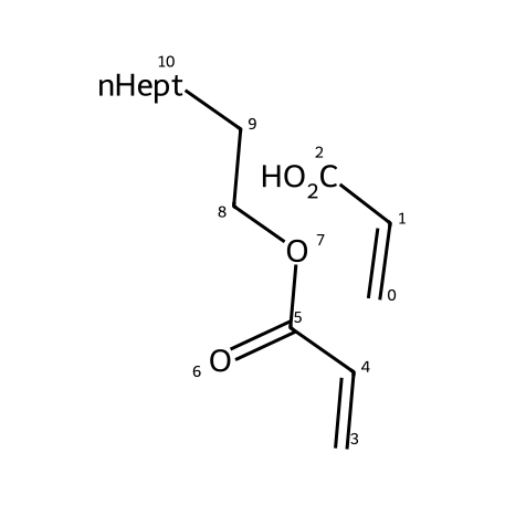 C=CC(=O)O.C=CC(=O)OCCCCCCCCC